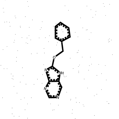 c1ccc(COc2nc3ncncc3[nH]2)cc1